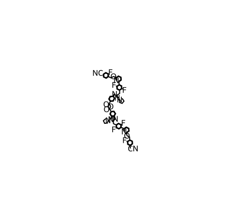 N#Cc1ccc(COc2cccc(-c3cc(F)c(Cc4nc5ccc(C(=O)OC(=O)c6ccc7nc(Cc8cc(F)c(-c9cccc(OCc%10ccc(C#N)cc%10F)n9)cc8F)n(N8CCCC8)c7c6)cc5n4N4CCCC4)cc3F)n2)c(F)c1